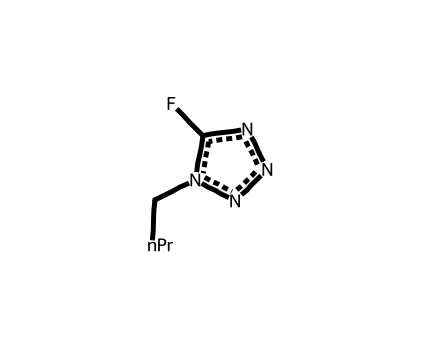 CCCCn1nnnc1F